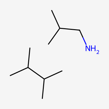 CC(C)C(C)C.CC(C)CN